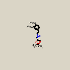 COc1ccc(CCNC[C@H]2COC(C)(C)O2)cc1OC